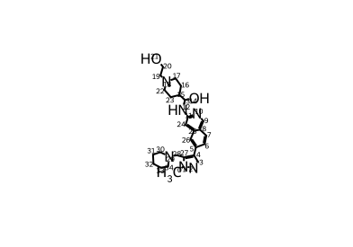 Cn1ncc(-c2ccc3cnc(NC(O)C4CCN(CCO)CC4)cc3c2)c1CN1CCCCC1